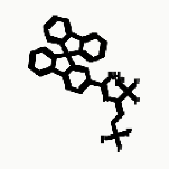 N/C(=N\C(=C/CC(F)(F)F)C(F)(F)F)c1ccc2c(c1)C1(c3ccccc3-c3ccccc31)c1ccccc1-2